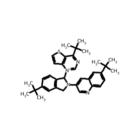 CC(C)(C)c1ccc2c(c1)CN(c1cnc3ccc(C(C)(C)C)cc3c1)C2[n+]1cnc(C(C)(C)C)c2sccc21